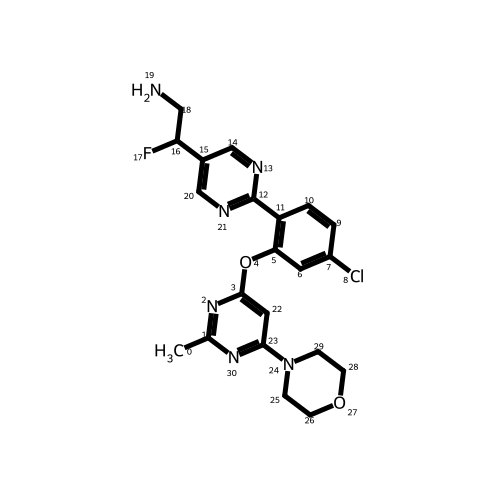 Cc1nc(Oc2cc(Cl)ccc2-c2ncc(C(F)CN)cn2)cc(N2CCOCC2)n1